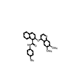 COc1cc2nccc(Oc3ccc4ccccc4c3C(=O)Nc3ccc(C(C)(C)C)cc3)c2cc1OC